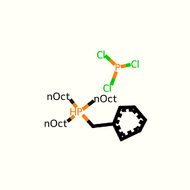 CCCCCCCC[PH](CCCCCCCC)(CCCCCCCC)Cc1ccccc1.ClP(Cl)Cl